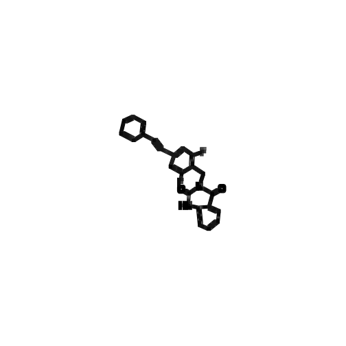 O=c1[nH]c2ccccc2c(=O)n1Cc1c(F)cc(C#Cc2ccccc2)cc1F